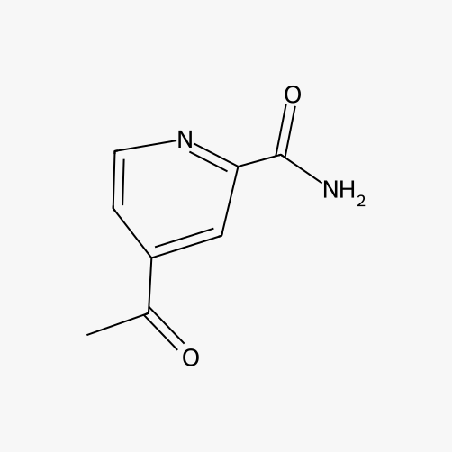 CC(=O)c1ccnc(C(N)=O)c1